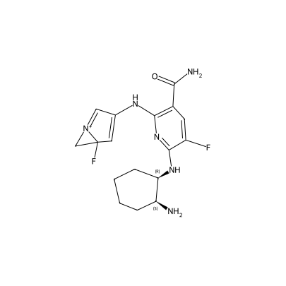 NC(=O)c1cc(F)c(N[C@@H]2CCCC[C@@H]2N)nc1NC1=CC2(F)C[N+]2=C1